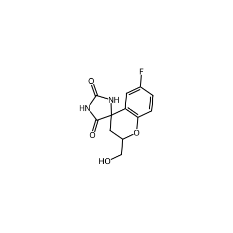 O=C1NC(=O)C2(CC(CO)Oc3ccc(F)cc32)N1